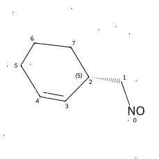 O=NC[C@@H]1C=CCCC1